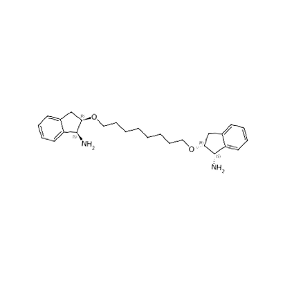 N[C@H]1c2ccccc2C[C@H]1OCCCCCCCCO[C@@H]1Cc2ccccc2[C@@H]1N